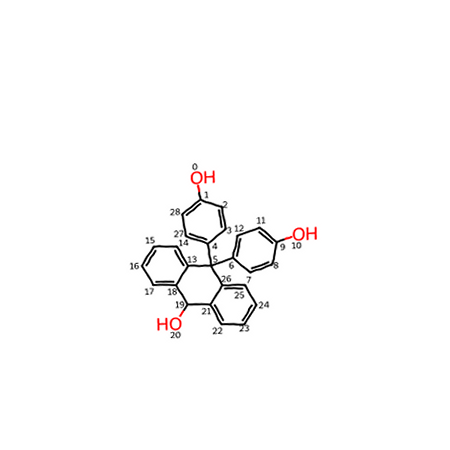 Oc1ccc(C2(c3ccc(O)cc3)c3ccccc3C(O)c3ccccc32)cc1